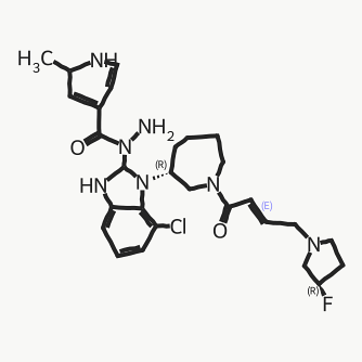 CC1C=C(C(=O)N(N)C2Nc3cccc(Cl)c3N2[C@@H]2CCCCN(C(=O)/C=C/CN3CC[C@@H](F)C3)C2)C=CN1